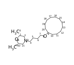 C[C@@H]1CN(CCCCOC2CCCCCCCCCCC2)C[C@H](C)O1